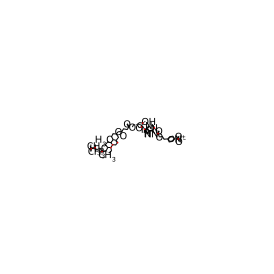 CC(C)CCC[C@@H](C)[C@H]1CCC2C3CC=C4CC(OC(=O)CCC(=O)OC[C@@H]5C[C@@H](O)[C@H](n6cnc7c(NC(=O)OCCc8ccc([N+](=O)[O-])cc8)ncnc76)O5)CC[C@]4(C)C3CC[C@@]21C